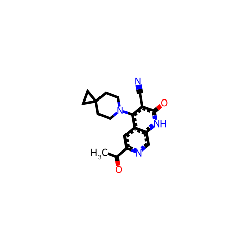 CC(=O)c1cc2c(N3CCC4(CC3)CC4)c(C#N)c(=O)[nH]c2cn1